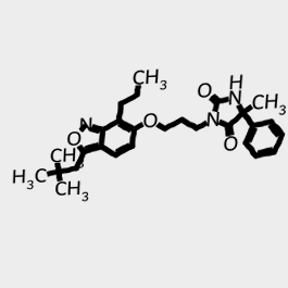 CCCc1c(OCCCN2C(=O)NC(C)(c3ccccc3)C2=O)ccc2c(CC(C)(C)C)onc12